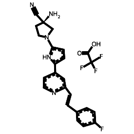 N#C[C@@]1(N)CCN(c2ccc(-c3ccnc(C=Cc4ccc(F)cc4)c3)[nH]2)C1.O=C(O)C(F)(F)F